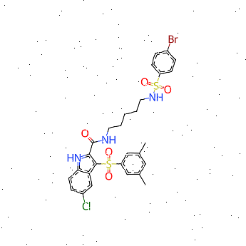 Cc1cc(C)cc(S(=O)(=O)c2c(C(=O)NCCCCCNS(=O)(=O)c3ccc(Br)cc3)[nH]c3ccc(Cl)cc23)c1